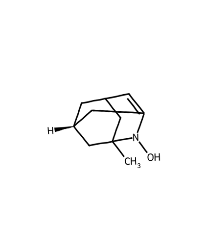 CC12CC3C=C(C[C@@H](C3)C1)N2O